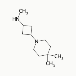 CNC1CC(N2CCC(C)(C)CC2)C1